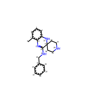 Cc1cccc2c1N=C(NCc1ccccc1)C1(CCNCC1)N2